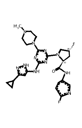 CN1CCN(c2nc(Nc3cc(C4CC4)n[nH]3)nc(N3C[C@H](F)C[C@H]3C(=O)Nc3ccc(F)nc3)n2)CC1